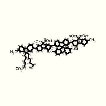 CCCCCCCCC1(CCCCCCCC)c2cc(C)ccc2-c2ccc(-c3ccc4c(c3)C3(c5cc(-c6ccc7c(c6)C(CCCCCCCC)(CCCCCCCC)c6cc(-c8ccc9c(c8)C(CCCCCC(C)=O)(CCCCCC(=O)OCC)c8cc(C)ccc8-9)ccc6-7)ccc5-4)c4cc(C(C)(C)C)ccc4-c4ccc(C(C)(C)C)cc43)cc21